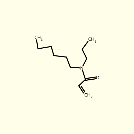 C=CC(=O)N(CCC)CCCCCC